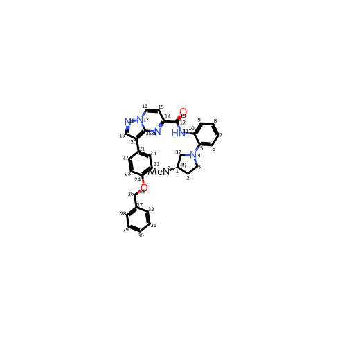 CN[C@@H]1CCN(c2ccccc2NC(=O)c2ccn3ncc(-c4ccc(OCc5ccccc5)cc4)c3n2)C1